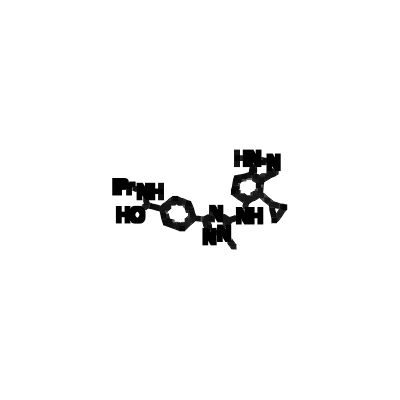 CC(C)NC(O)c1ccc(-c2nc(Nc3ccc4[nH]ncc4c3C3CC3)n(C)n2)cc1